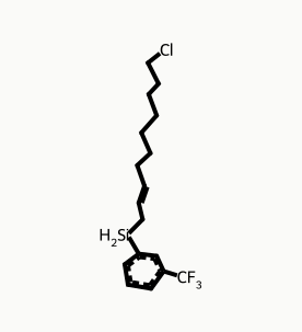 FC(F)(F)c1cccc([SiH2]CC=CCCCCCCCCl)c1